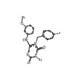 CCn1c(=O)nc(Nc2cccc(OC(C)C)c2)n(Cc2ccc(F)cc2)c1=O